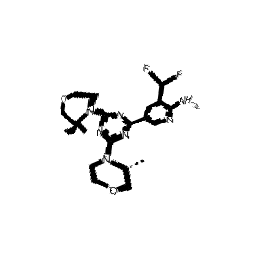 C[C@@H]1COCCN1c1nc(-c2cnc(N)c(C(F)F)c2)nc(N2CCOCC2(C)C)n1